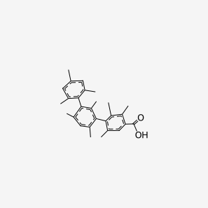 Cc1cc(C)c(-c2c(C)cc(C)c(-c3c(C)cc(C(=O)O)c(C)c3C)c2C)c(C)c1